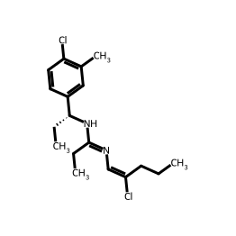 CCC/C(Cl)=C\N=C(/CC)N[C@H](CC)c1ccc(Cl)c(C)c1